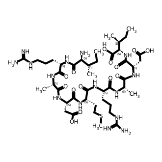 CC[C@H](C)[C@H](N)C(=O)N[C@@H](CCCNC(=N)N)C(=O)N[C@@H](C)C(=O)N[C@@H](CC(=O)O)C(=O)N[C@@H](CCSC)C(=O)N[C@@H](CCCNC(=N)N)C(=O)N[C@@H](C)C(=O)N[C@@H](CC(=O)O)C(=O)N[C@H](C(=O)O)[C@@H](C)CC